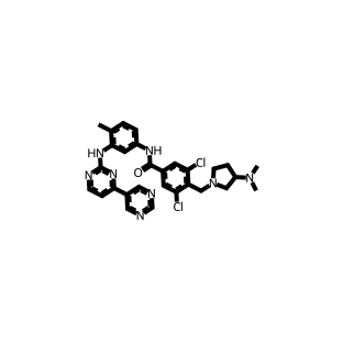 Cc1ccc(NC(=O)c2cc(Cl)c(CN3CCC(N(C)C)C3)c(Cl)c2)cc1Nc1nccc(-c2cncnc2)n1